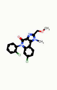 COCc1nc2c(=O)n(-c3ccccc3Cl)c3cc(Cl)ccc3c2n1C